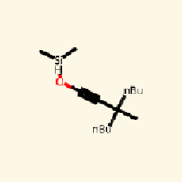 CCCCC(C)(C#CO[SiH](C)C)CCCC